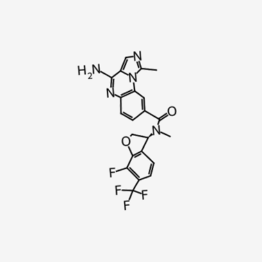 Cc1ncc2c(N)nc3ccc(C(=O)N(C)[C@@H]4COc5c4ccc(C(F)(F)F)c5F)cc3n12